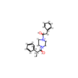 C[C@H](C(=O)N1CCN(C(=O)Cc2ccccc2)CC1)c1ccccc1